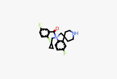 O=C(c1cc(F)ccc1F)[N+]1(CC2CC2)CC2(CCNCC2)c2cc(F)ccc21